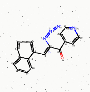 [N-]=[N+]=N/C(=C\c1cccc2ccccc12)C(=O)c1ccncc1